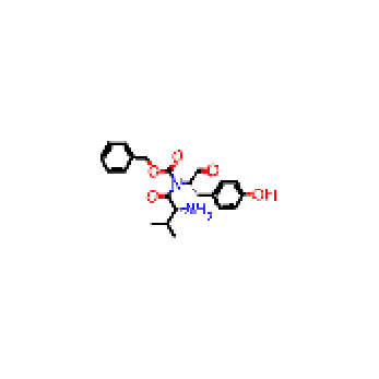 CC(C)[C@H](N)C(=O)N(C(=O)OCc1ccccc1)[C@H](C=O)Cc1ccc(O)cc1